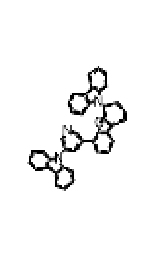 c1cc(-c2cncc(-n3c4ccccc4c4ccccc43)c2)c2oc3c(-n4c5ccccc5c5ccccc54)cccc3c2c1